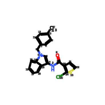 O=C(Nc1cn(Cc2ccc(C(F)(F)F)cc2)c2ccccc12)c1ccsc1Cl